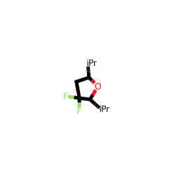 CC(C)C1CC(F)(F)C(C(C)C)O1